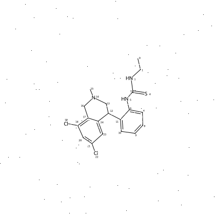 CCNC(=S)Nc1ccccc1C1CN(C)Cc2c(Cl)cc(Cl)cc21